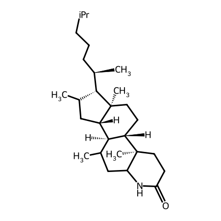 CC(C)CCC[C@@H](C)[C@H]1C(C)C[C@H]2[C@@H]3C(C)CC4NC(=O)CC[C@]4(C)[C@H]3CC[C@]12C